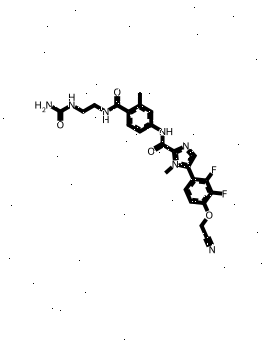 Cc1cc(NC(=O)c2ncc(-c3ccc(OCC#N)c(F)c3F)n2C)ccc1C(=O)NCCNC(N)=O